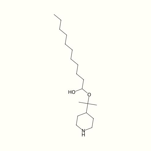 CCCCCCCCCCC(O)OC(C)(C)C1CCNCC1